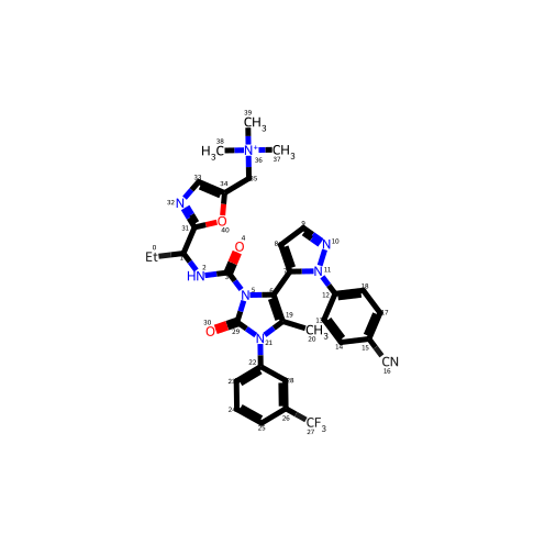 CCC(NC(=O)n1c(-c2ccnn2-c2ccc(C#N)cc2)c(C)n(-c2cccc(C(F)(F)F)c2)c1=O)c1ncc(C[N+](C)(C)C)o1